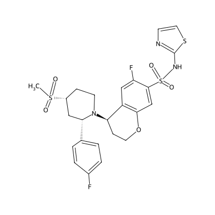 CS(=O)(=O)[C@@H]1CCN([C@@H]2CCOc3cc(S(=O)(=O)Nc4nccs4)c(F)cc32)[C@H](c2ccc(F)cc2)C1